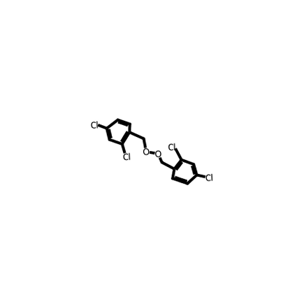 Clc1ccc(COOCc2ccc(Cl)cc2Cl)c(Cl)c1